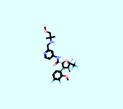 COCC(C)(C)NCc1cc(NC(=O)[C@@H]2O[C@@](C)(C(F)(F)F)[C@@H](C)[C@H]2c2ccc(F)c(F)c2OC)ccn1